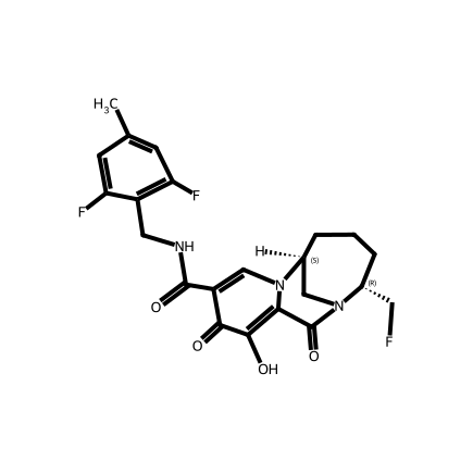 Cc1cc(F)c(CNC(=O)c2cn3c(c(O)c2=O)C(=O)N2C[C@@H]3CCC[C@@H]2CF)c(F)c1